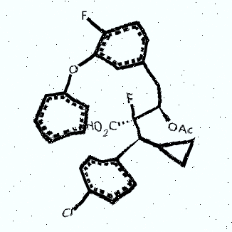 CC(=O)O[C@H](Cc1ccc(F)c(Oc2ccccc2)c1)[C@@](F)(C(=O)O)[C@H](c1ccc(Cl)cc1)C1CC1